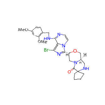 COc1ccc(CNc2nccn3c([C@H]4CN5C(=O)C6(CCCC6)NC[C@@H]5CO4)nc(Br)c23)c(OC)c1